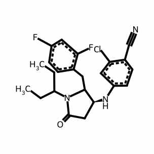 CCC(CC)N1C(=O)C[C@H](Nc2ccc(C#N)c(Cl)c2)C1Cc1ccc(F)cc1F